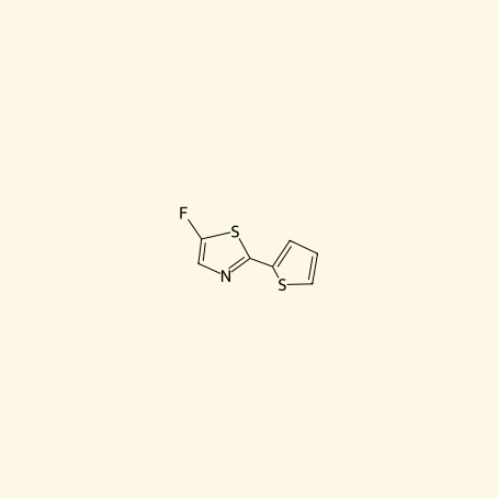 Fc1cnc(-c2cccs2)s1